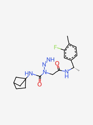 Cc1ccc([C@H](C)NC(=O)CN(N=N)C(=O)NC23CCC(C2)C3)cc1F